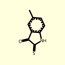 Cc1ccc2c(c1)C(=O)C(=S)N2